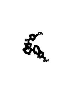 COCc1nc2ccc(-c3nccc4nc(Nc5ccc(C(F)(F)F)cc5)nn34)cc2[nH]1